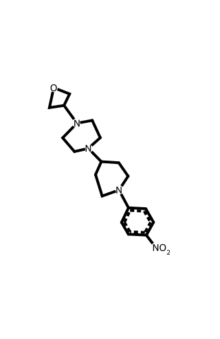 O=[N+]([O-])c1ccc(N2CCC(N3CCN(C4COC4)CC3)CC2)cc1